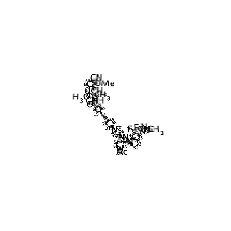 COc1cc(OC2C(C)(C)C(NC(=O)c3ccc(C#CC4CCC(N5CCC(n6nc(N7CCCc8cc(-c9cnn(C)c9)c(C(F)F)cc87)c7c6CCN(C(C)=O)C7)CC5)CC4)cc3)C2(C)C)ccc1C#N